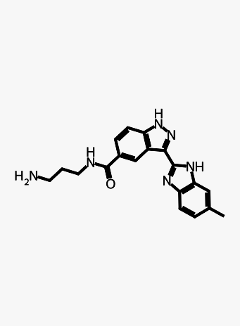 Cc1ccc2nc(-c3n[nH]c4ccc(C(=O)NCCCN)cc34)[nH]c2c1